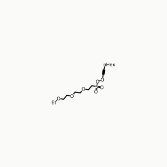 CCCCCCC#COOS(=O)(=O)CCOCCOCCOCC